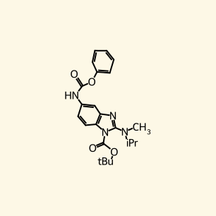 CC(C)N(C)c1nc2cc(NC(=O)Oc3ccccc3)ccc2n1C(=O)OC(C)(C)C